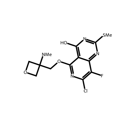 CNC1(COc2nc(Cl)c(F)c3nc(SC)nc(O)c23)COC1